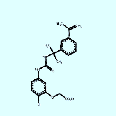 C=C(C)c1cccc(C(C)(C)NC(=O)Nc2ccc(Cl)c(OCC(=O)OCC)c2)c1